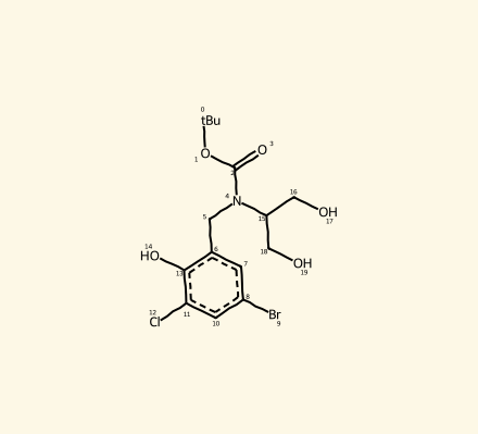 CC(C)(C)OC(=O)N(Cc1cc(Br)cc(Cl)c1O)C(CO)CO